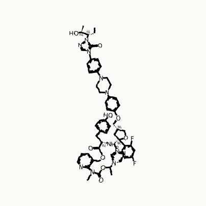 CC[C@@H]([C@H](C)O)n1ncn(-c2ccc(N3CCN(c4ccc(OC[C@@H]5CO[C@@](Cn6c[n+](C(C)OC(=O)N(C)c7ncccc7COC(=O)[C@@H](N)Cc7ccc(O)cc7)cn6)(c6ccc(F)cc6F)C5)cc4)CC3)cc2)c1=O